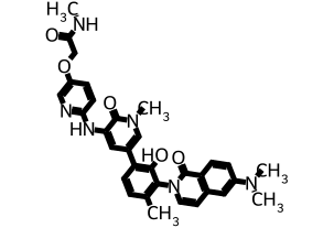 CNC(=O)COc1ccc(Nc2cc(-c3ccc(C)c(-n4ccc5cc(N(C)C)ccc5c4=O)c3O)cn(C)c2=O)nc1